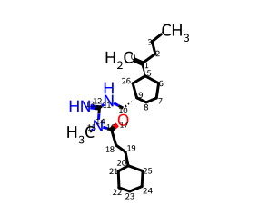 C=C(CCC)[C@H]1CCC[C@H](CNC(=N)N(C)C(=O)CCC2CCCCC2)C1